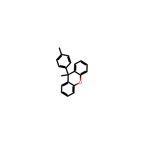 [CH2]C1(c2ccc(C)cc2)c2ccccc2Oc2ccccc21